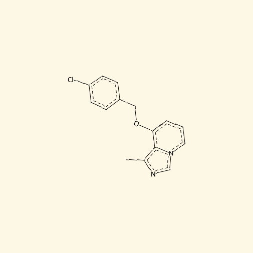 Cc1ncn2cccc(OCc3ccc(Cl)cc3)c12